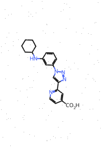 O=C(O)c1ccnc(-c2cn(-c3cccc(NC4CCCCC4)c3)nn2)c1